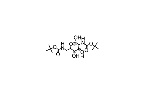 CC(C)(C)OC(=O)NCC1O[C@H](O)C(NC(=O)OC(C)(C)C)[C@@H](O)[C@@H]1O